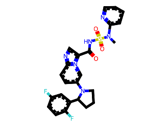 CN(c1ccccn1)S(=O)(=O)NC(=O)c1cnc2ccc(N3CCCC3c3cc(F)ccc3F)cn12